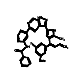 C=C/C=C(/c1cc(F)cc(OC)c1)c1cc(-c2n[nH]c3cnc(-c4cccc(NC(=O)c5ccccc5)c4)cc23)[nH]c1C